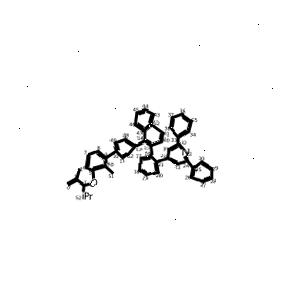 C=C(C)C(Oc1cccc(-c2ccc(-c3c(-c4ccccc4-c4cc(-c5ccccc5)nc(-c5ccccc5)c4)ccc4ccccc34)cc2)c1C)C(C)C